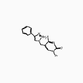 CC(C)n1cc(Cn2cc(-c3ccccc3)nn2)c(N)nc1=O